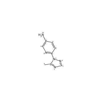 Cc1ncnn1-c1ccc(N)cn1